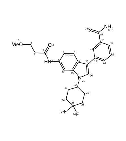 COCCC(=O)Nc1ccc2c(-c3cccc(C(N)=S)c3)cn(C3CCC(F)(F)CC3)c2c1